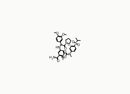 COc1ccc([C@H](Nc2ccc(F)c(C(N)=O)c2)C(=O)N2CCC[C@@H]2c2cc(N(C)C(=O)O)ccc2S(=O)(=O)C(C)C)cc1OC